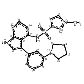 Cn1ccc(S(=O)(=O)Nc2ccnc3[nH]cc(-c4cccc(N5CCCC5)c4)c23)n1